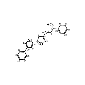 O[C@@H](CNC1=NO[C@H](c2cc(-c3ccccc3)cs2)C1)c1ccccc1